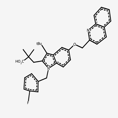 CC(C)(Cc1c(C(C)(C)C)c2cc(OCc3ccc4ccccc4n3)ccc2n1Cc1cccc(F)c1)C(=O)O